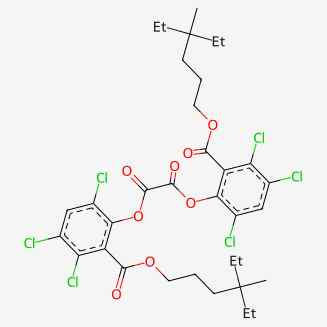 CCC(C)(CC)CCCOC(=O)c1c(Cl)c(Cl)cc(Cl)c1OC(=O)C(=O)Oc1c(Cl)cc(Cl)c(Cl)c1C(=O)OCCCC(C)(CC)CC